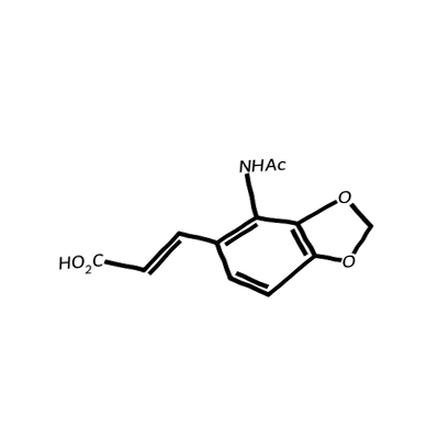 CC(=O)Nc1c(C=CC(=O)O)ccc2c1OCO2